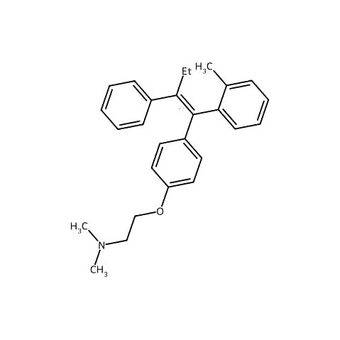 CC/C(=C(/c1ccc(OCCN(C)C)cc1)c1ccccc1C)c1ccccc1